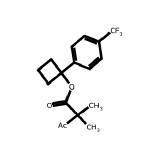 CC(=O)C(C)(C)C(=O)OC1(c2ccc(C(F)(F)F)cc2)CCC1